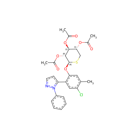 CC(=O)O[C@@H]1[C@@H](OC(C)=O)[C@H](OC(C)=O)CS[C@H]1Oc1cc(C)c(Cl)cc1-c1ccnn1-c1ccccc1